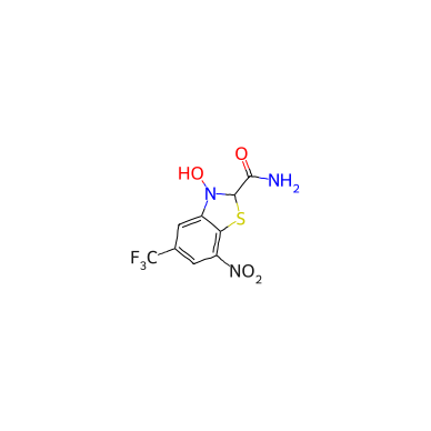 NC(=O)C1Sc2c(cc(C(F)(F)F)cc2[N+](=O)[O-])N1O